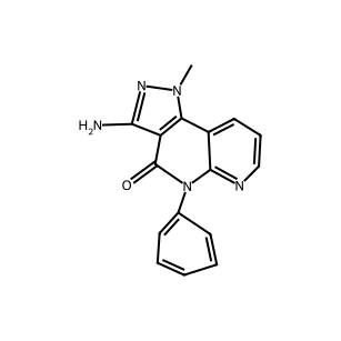 Cn1nc(N)c2c(=O)n(-c3ccccc3)c3ncccc3c21